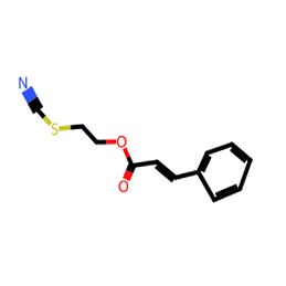 N#CSCCOC(=O)C=Cc1ccccc1